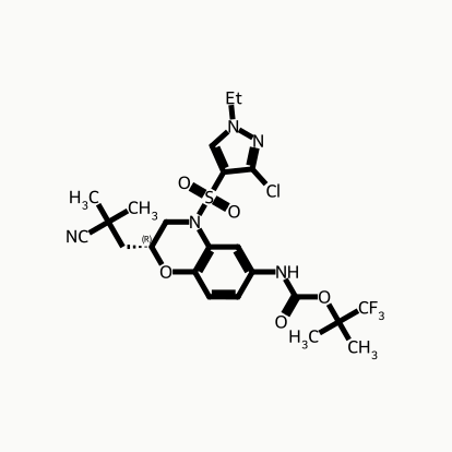 CCn1cc(S(=O)(=O)N2C[C@@H](CC(C)(C)C#N)Oc3ccc(NC(=O)OC(C)(C)C(F)(F)F)cc32)c(Cl)n1